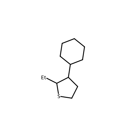 CCC1SCCC1C1CCCCC1